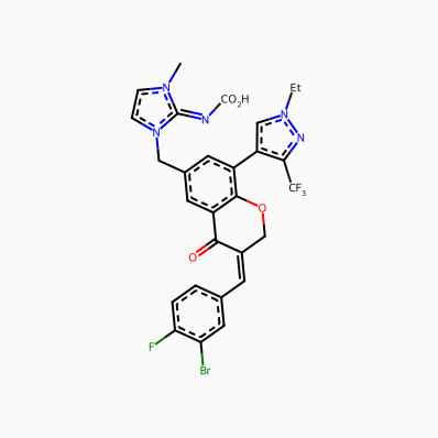 CCn1cc(-c2cc(Cn3ccn(C)c3=NC(=O)O)cc3c2OCC(=Cc2ccc(F)c(Br)c2)C3=O)c(C(F)(F)F)n1